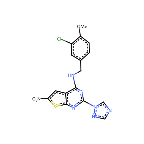 COc1ccc(CNc2nc(-n3cncn3)nc3sc([N+](=O)[O-])cc23)cc1Cl